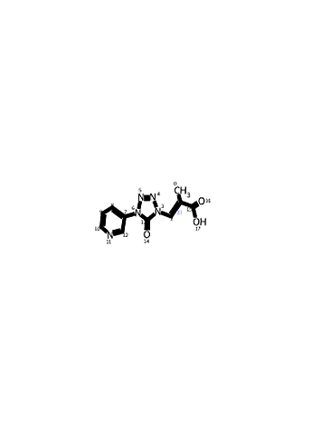 C/C(=C\n1nnn(-c2cccnc2)c1=O)C(=O)O